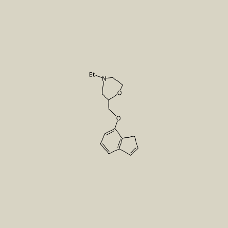 CCN1CCOC(COc2cccc3c2CC=C3)C1